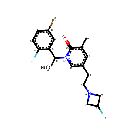 Cc1cc(CCN2CC(F)C2)cn(C(C(=O)O)c2cc(Br)ccc2F)c1=O